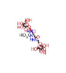 O=C(O)N[C@@H](CCC(=O)NCCO[C@H]1O[C@H](CO)[C@@H](O)[C@H](O)[C@@H]1O)C(=O)NCCO[C@H]1O[C@H](CO)[C@@H](O)[C@H](O)[C@@H]1O